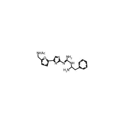 CC(=O)NCc1ccc(-c2csc(N=C(N)NC(N)Cc3ccccc3)n2)o1